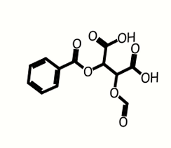 O=COC(C(=O)O)C(OC(=O)c1ccccc1)C(=O)O